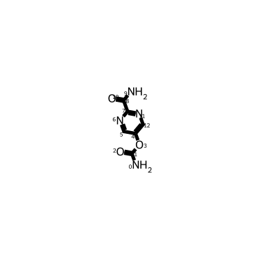 NC(=O)Oc1cnc(C(N)=O)nc1